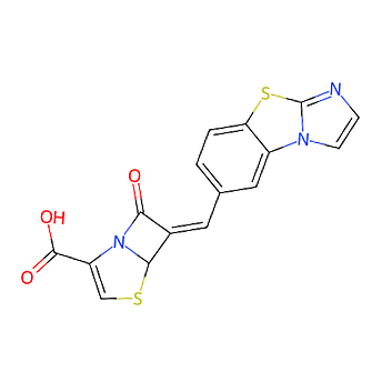 O=C(O)C1=CSC2C(=Cc3ccc4sc5nccn5c4c3)C(=O)N12